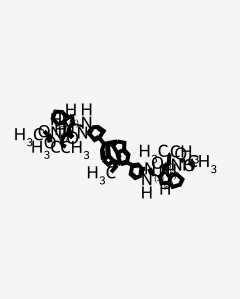 CCC12Cc3cc(-c4ccc5[nH]c([C@@H]6C[C@@H]7CCCC[C@@H]7N6C(=O)[C@@H](NC(=O)OC)C(C)C)nc5c4)c(cc31)C1Cc3cc(-c4ccc5[nH]c([C@@H]6C[C@@H]7CCCC[C@@H]7N6C(=O)[C@@H](NC(=O)OC)C(C)C)nc5c4)c2cc3C1